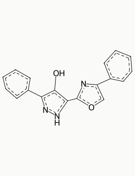 Oc1c(-c2ccccc2)n[nH]c1-c1nc(-c2ccccc2)co1